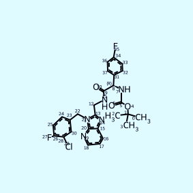 CC(C)(C)OC(=O)N[C@@H](C(=O)NCc1nc2cccnc2n1Cc1ccc(F)c(Cl)c1)c1ccc(F)cc1